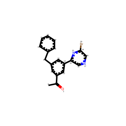 CC(=O)c1cc(Cc2ccccc2)cc(-c2cncc(Br)n2)c1